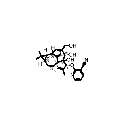 CC1=C[C@]23C(=O)[C@@H](C=C(CO)[C@@H](O)[C@]2(O)[C@H]1Oc1ncccc1C#N)[C@H]1[C@@H](C[C@H]3C)C1(C)C